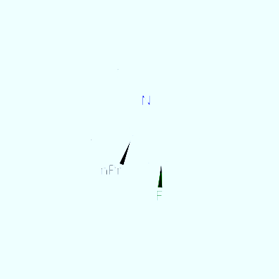 CCC[C@@]12CCCN1CC[C@H]2F